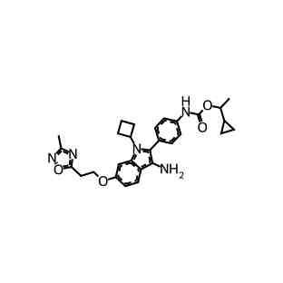 Cc1noc(CCOc2ccc3c(N)c(-c4ccc(NC(=O)OC(C)C5CC5)cc4)n(C4CCC4)c3c2)n1